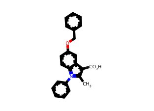 Cc1c(C(=O)O)c2cc(OCc3ccccc3)ccc2n1-c1ccccc1